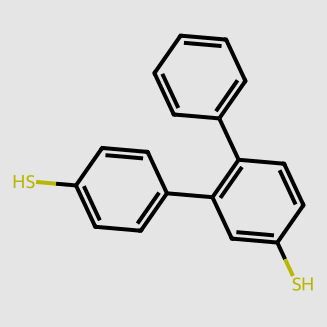 Sc1ccc(-c2cc(S)ccc2-c2ccccc2)cc1